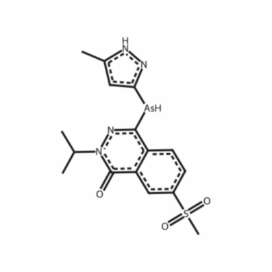 Cc1cc([AsH]c2nn(C(C)C)c(=O)c3cc(S(C)(=O)=O)ccc23)n[nH]1